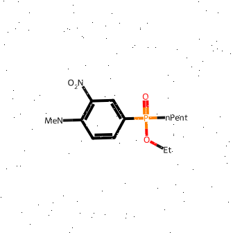 CCCCCP(=O)(OCC)c1ccc(NC)c([N+](=O)[O-])c1